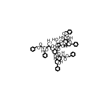 C[C@H](C(=O)C[C@@H]1C[C@H](C)[C@@H](O[C@H]2O[C@@H]3CCC(c4ccccc4)O[C@H]3CC2NC(=O)OCc2ccccc2)[C@H](O[C@@H]2O[C@H](CO)[C@@H](O[C@H]3O[C@H]4CCC(c5ccccc5)O[C@H]4[C@H](O)[C@H]3NC(=O)OCc3ccccc3)[C@H]2O)[C@H]1O)[C@@H](CNC(=O)OCc1ccccc1)OCc1ccccc1